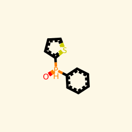 O=[PH](c1ccccc1)c1cccs1